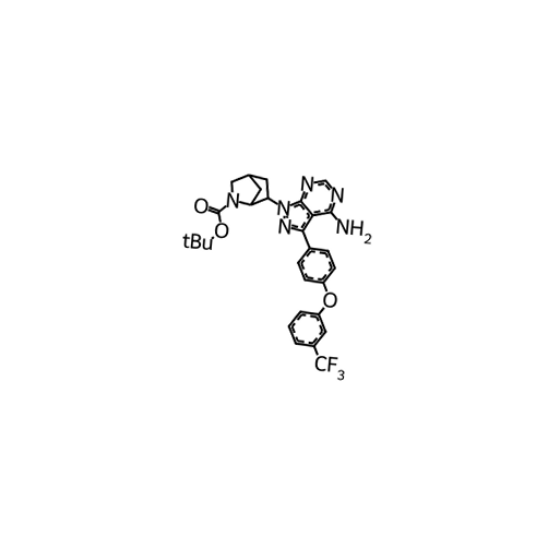 CC(C)(C)OC(=O)N1CC2CC1C(n1nc(-c3ccc(Oc4cccc(C(F)(F)F)c4)cc3)c3c(N)ncnc31)C2